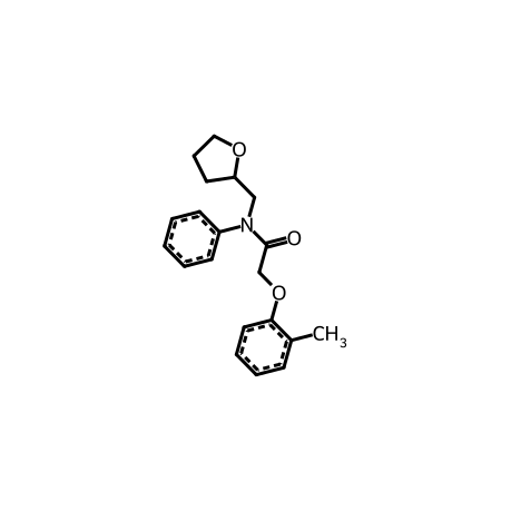 Cc1ccccc1OCC(=O)N(CC1CCCO1)c1ccccc1